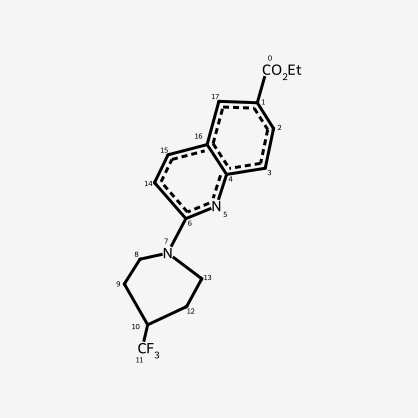 CCOC(=O)c1ccc2nc(N3CCC(C(F)(F)F)CC3)ccc2c1